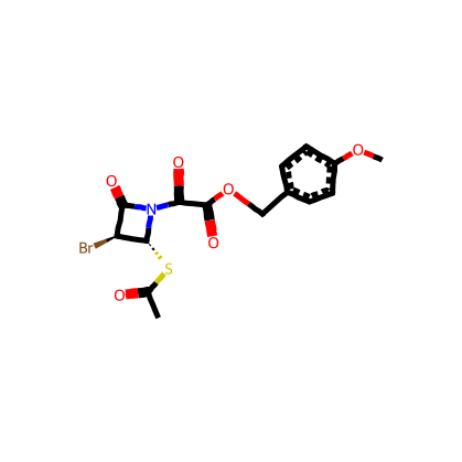 COc1ccc(COC(=O)C(=O)N2C(=O)[C@H](Br)[C@H]2SC(C)=O)cc1